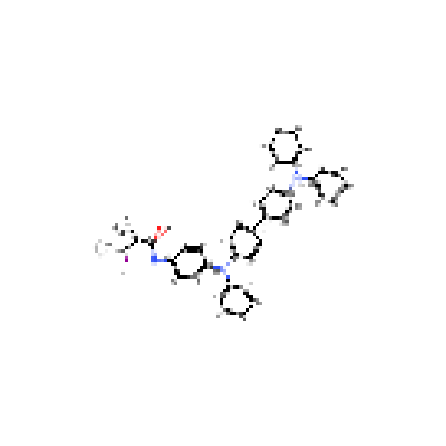 CC(I)C(C)C(=O)Nc1ccc(N(c2ccccc2)c2ccc(-c3ccc(N(c4ccccc4)c4ccccc4)cc3)cc2)cc1